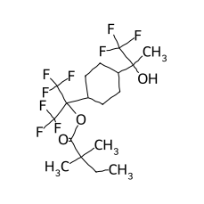 CCC(C)(C)C(=O)OC(C1CCC(C(C)(O)C(F)(F)F)CC1)(C(F)(F)F)C(F)(F)F